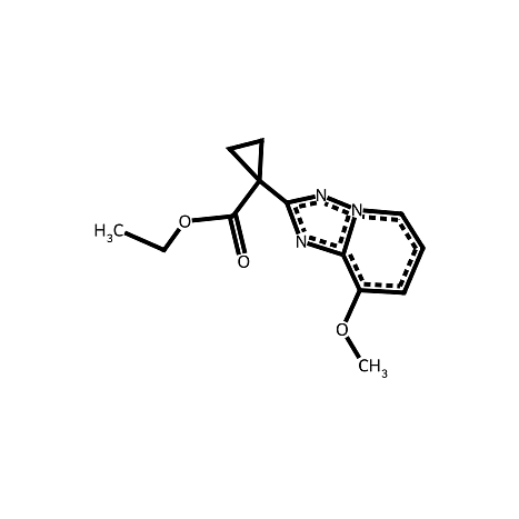 CCOC(=O)C1(c2nc3c(OC)cccn3n2)CC1